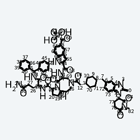 C=C1N(C)c2cc(C[C@H]3CC[C@@H](CC(=O)N4CC[C@H]5CC[C@@H](C(=O)N[C@@H](CCC(N)=O)C(=O)NC(c6ccccc6)c6ccccc6)N5C(=O)[C@@H](NC(=O)c5cc6cc(C(=O)P(=O)(O)O)ccc6[nH]5)C4)CC3)ccc2N1C1CCC(=O)N(C)C1=O